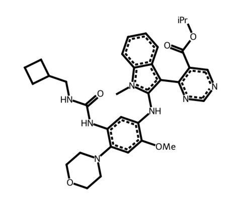 COc1cc(N2CCOCC2)c(NC(=O)NCC2CCC2)cc1Nc1c(-c2ncncc2C(=O)OC(C)C)c2ccccc2n1C